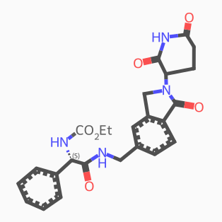 CCOC(=O)N[C@H](C(=O)NCc1ccc2c(c1)CN(C1CCC(=O)NC1=O)C2=O)c1ccccc1